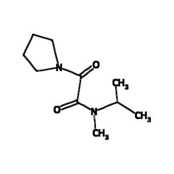 CC(C)N(C)C(=O)C(=O)N1CCCC1